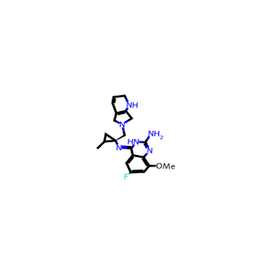 COc1cc(F)cc2/c(=N/[C@@]3(CN4CC5=C(C4)NCC=C5)CC3C)[nH]c(N)nc12